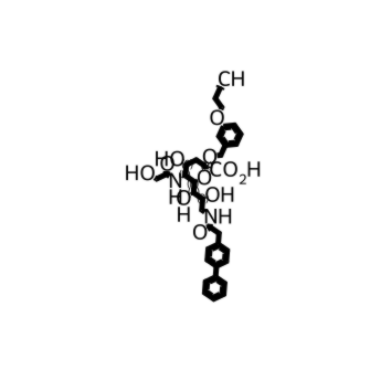 C#CCCOc1cccc(CO[C@]2(C(=O)O)C[C@H](O)[C@@H](NC(=O)CO)[C@H]([C@H](O)[C@H](O)CNC(=O)Cc3ccc(-c4ccccc4)cc3)O2)c1